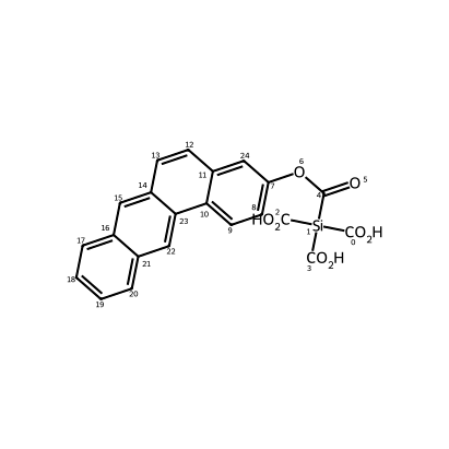 O=C(O)[Si](C(=O)O)(C(=O)O)C(=O)Oc1ccc2c(ccc3cc4ccccc4cc32)c1